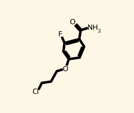 NC(=O)c1ccc(OCCCCl)cc1F